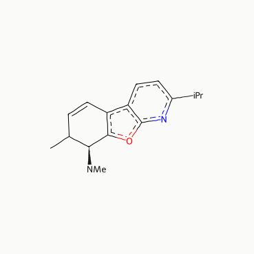 CN[C@@H]1c2oc3nc(C(C)C)ccc3c2C=CC1C